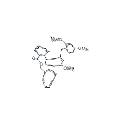 COc1ccc(-c2ccccc2C(=O)OCc2ccccc2)c(Cc2ccc(OC)cc2OC)c1